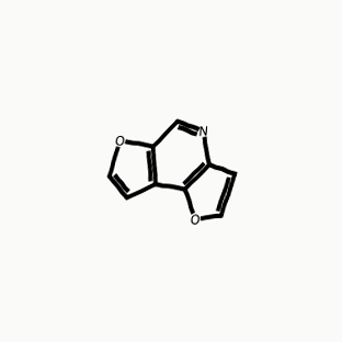 c1cc2c(cnc3ccoc32)o1